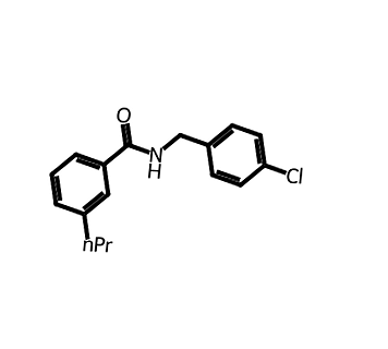 CCCc1cccc(C(=O)NCc2ccc(Cl)cc2)c1